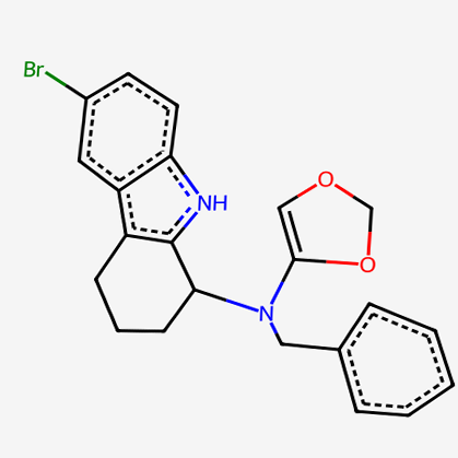 Brc1ccc2[nH]c3c(c2c1)CCCC3N(Cc1ccccc1)C1=COCO1